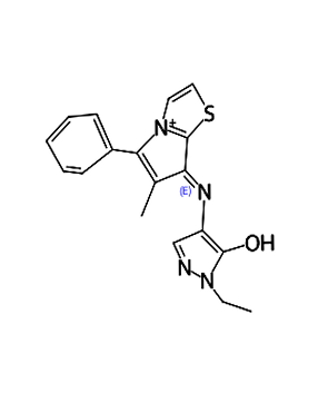 CCn1ncc(/N=C2\C(C)=C(c3ccccc3)[n+]3ccsc32)c1O